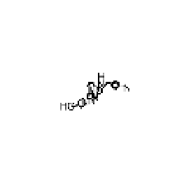 Cc1nc(N2CCC(CO)CC2)cc(N2CCCC2C(=O)NCCc2ccc(C#N)cc2)n1